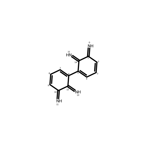 N=C1C=CC=C(C2=CC=CC(=N)C2=N)C1=N